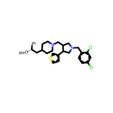 CO[C@@H](CC1CCN(CC2CN(Cc3ccc(Cl)cc3Cl)CC2c2ccsc2)CC1)C(C)C